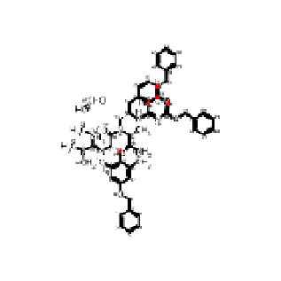 Cc1cc(OCc2ccccc2)cc(C)c1C[C@H](N=C(N(C)C)N(C)C)C(=O)N(C[C@H](Cc1ccccc1)N/C(=N/C(=O)OCc1ccccc1)NC(=O)OCc1ccccc1)[C@H](C)C(N)=O.O=CO